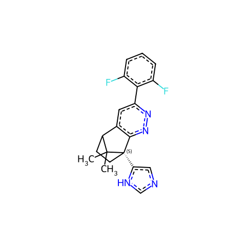 CC1(C)C2CC[C@]1(c1cnc[nH]1)c1nnc(-c3c(F)cccc3F)cc12